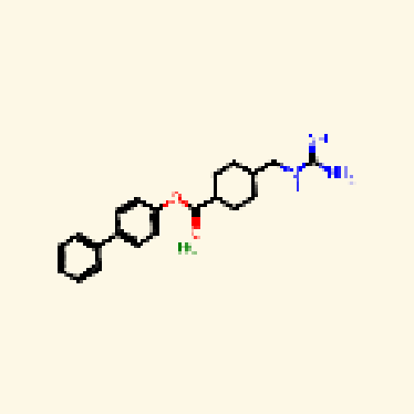 Cl.N=C(N)NCC1CCC(C(=O)Oc2ccc(-c3ccccc3)cc2)CC1